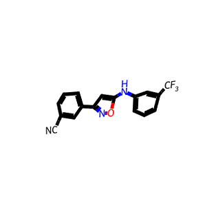 N#Cc1cccc(-c2cc(Nc3cccc(C(F)(F)F)c3)on2)c1